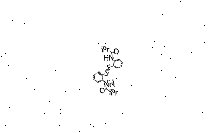 CC(C)C(=O)Nc1ccccc1SSc1ccccc1NC(=O)C(C)C